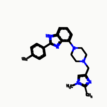 Cc1nc(CN2CCN(c3cccc4[nH]c(-c5ccc(C(C)(C)C)cc5)nc34)CC2)cn1C